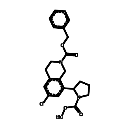 CC(C)(C)OC(=O)N1CCCC1c1cc(Cl)cc2c1CN(C(=O)OCc1ccccc1)CC2